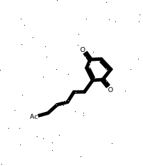 CC(=O)CCCCCC1=CC(=O)C=CC1=O